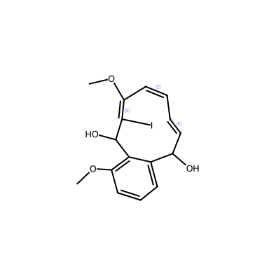 COC1=C(/I)C(O)c2c(OC)cccc2C(O)/C=C/C=C\1